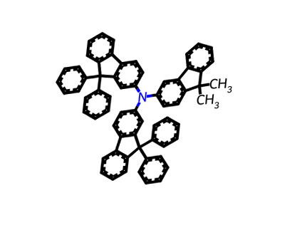 CC1(C)c2ccccc2-c2cc(N(c3ccc4c(c3)C(c3ccccc3)(c3ccccc3)c3ccccc3-4)c3ccc4c(c3)C(c3ccccc3)(c3ccccc3)c3ccccc3-4)ccc21